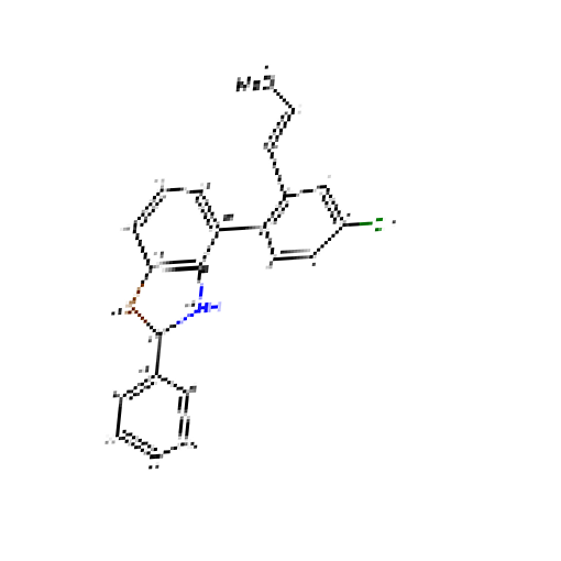 CO/C=C/c1cc(Cl)ccc1-c1cccc2c1NC(c1ccccc1)S2